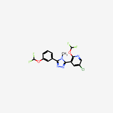 Cn1c(-c2cccc(OC(F)F)c2)nnc1-c1cc(Cl)cnc1OC(F)F